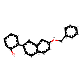 Oc1ccccc1-c1ccc2ccc(OCc3ccccc3)cc2c1